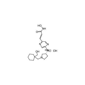 Cl.Cl.O=C(C=Cc1cnc(N[C@@H]2CCN(CC3(CO)CCCCC3)C2)cn1)NO